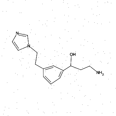 NCCC(O)c1cccc(CCn2ccnc2)c1